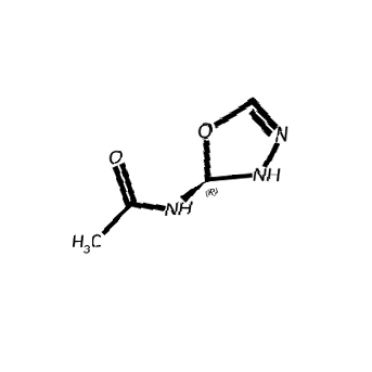 CC(=O)N[C@@H]1NN=CO1